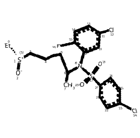 CC[S@@+]([O-])CCCC(C)N(c1cc(Cl)ccc1F)S(=O)(=O)c1ccc(Cl)cc1